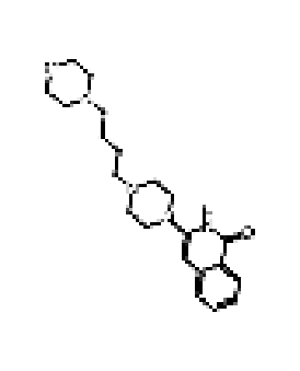 O=c1[nH]c(N2CCN(CCCCN3CCOCC3)CC2)cc2ccccc12